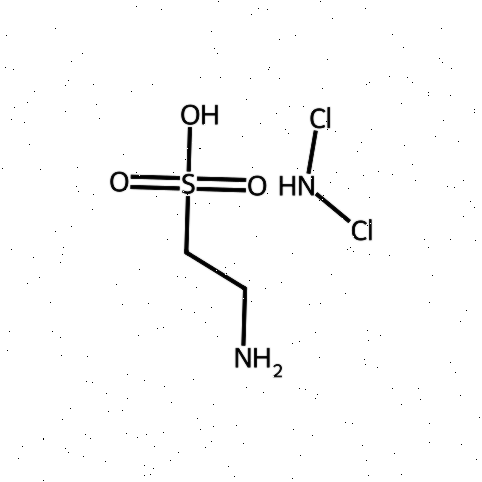 ClNCl.NCCS(=O)(=O)O